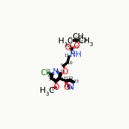 COc1cc(Cl)nc(OCCCNC(=O)OC(C)(C)C)c1-c1ccno1